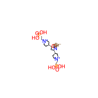 O=P(O)(O)CC[n+]1ccc(-c2cc(-c3cc[n+](CCP(=O)(O)O)cc3)on2)cc1.[Br-].[Br-]